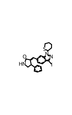 O=C1NCC(c2ccccc2)/C1=C\c1ccc2c(I)nn(C3CCCCS3)c2c1